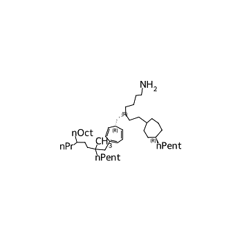 CCCCCCCCC(CCC)CCC(C)(CCCCC)CC1=CC=C[C@@H](C[C@H](CCCCN)CCC2CCC[C@@H](CCCCC)CC2)C=C1